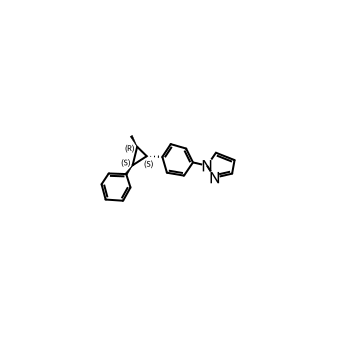 C[C@@H]1[C@H](c2ccccc2)[C@H]1c1ccc(-n2cccn2)cc1